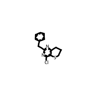 Clc1nc(Cc2ccccc2)nc2c1SCCC2